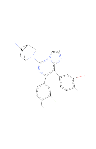 Cc1ccc(-c2c(-c3ccc(C#N)c(F)c3)nc(N3CC4CCC3CC4N)n3ccnc23)cc1O